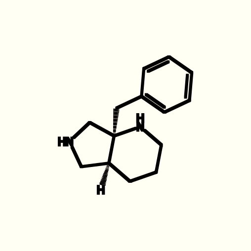 c1ccc(C[C@@]23CNC[C@@H]2CCCN3)cc1